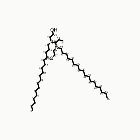 CCCCCCCCCCCCCCCCCCN(CCO)C(CC)N(CCO)CCCCCCCCCCCCCCCCCC